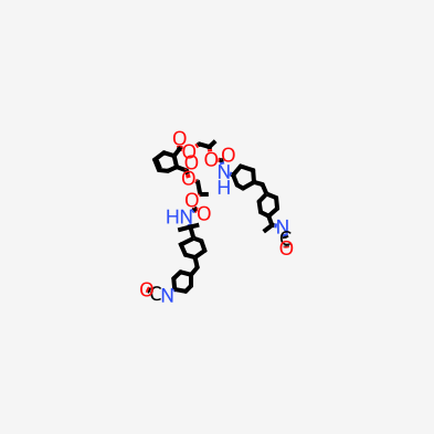 CC(COC(=O)C1CC=CCC1C(=O)OCC(C)OC(=O)NC(C)(C)C1CCC(CC2CCC(N=C=O)CC2)CC1)OC(=O)NC1CCC(CC2CCC(C(C)N=C=O)CC2)CC1